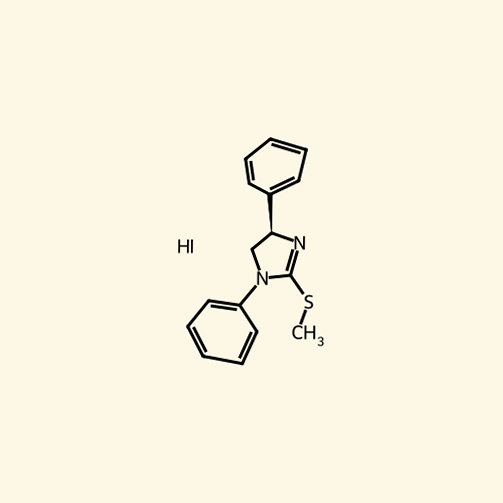 CSC1=N[C@H](c2ccccc2)CN1c1ccccc1.I